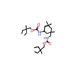 CCC(C)(CC)COC(=O)NCC1(C)CC(NC(=O)OCC(C)(CC)CC)CC(C)(C)C1